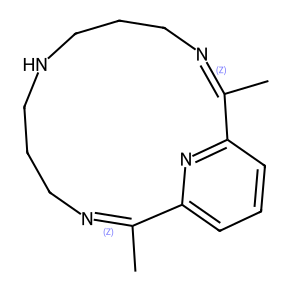 C/C1=N/CCCNCCC/N=C(/C)c2cccc1n2